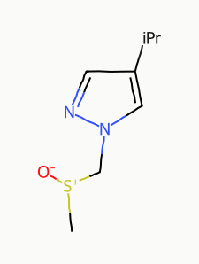 CC(C)c1cnn(C[S+](C)[O-])c1